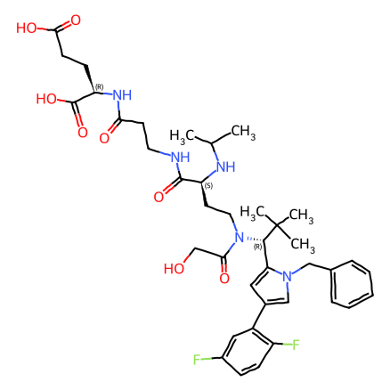 CC(C)N[C@@H](CCN(C(=O)CO)[C@@H](c1cc(-c2cc(F)ccc2F)cn1Cc1ccccc1)C(C)(C)C)C(=O)NCCC(=O)N[C@H](CCC(=O)O)C(=O)O